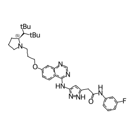 CC(C)(C)C([C@@H]1CCCN1CCCOc1ccc2c(Nc3cc(CC(=O)Nc4cccc(F)c4)[nH]n3)ncnc2c1)C(C)(C)C